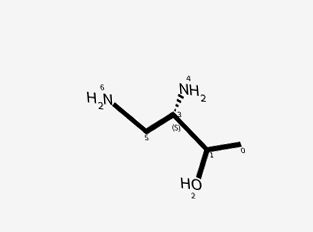 CC(O)[C@@H](N)CN